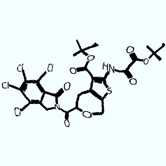 CC(C)(C)OC(=O)C(=O)Nc1sc2c(c1C(=O)OC(C)(C)C)CC(C(=O)N1Cc3c(Cl)c(Cl)c(Cl)c(Cl)c3C1=O)OC2